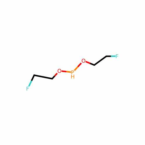 FCCOPOCCF